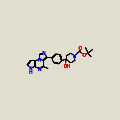 Cc1nc2[nH]ccc2n2cnc(-c3ccc(C4(O)CCN(C(=O)OC(C)(C)C)CC4)cc3)c12